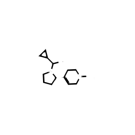 CN1CC=C([C@@H]2CCCN2C(O)C2CC2)CC1